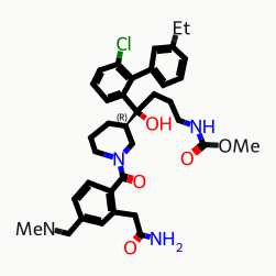 CCc1cccc(-c2c(Cl)cccc2C(O)(CCCNC(=O)OC)[C@@H]2CCCN(C(=O)c3ccc(CNC)cc3CC(N)=O)C2)c1